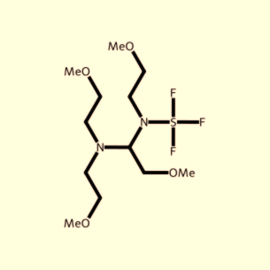 COCCN(CCOC)C(COC)N(CCOC)S(F)(F)F